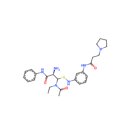 CCN(C(C)=O)C(SNc1cccc(NC(=O)CCN2CCCC2)c1)[C@H](N)C(=O)Nc1ccccc1